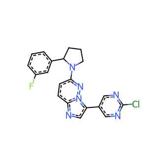 Fc1cccc(C2CCCN2c2ccc3ncc(-c4cnc(Cl)nc4)n3n2)c1